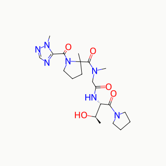 C[C@@H](O)[C@H](NC(=O)CN(C)C(=O)C1(C)CCCN1C(=O)c1ncnn1C)C(=O)N1CCCC1